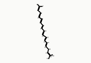 CC(C)=C/C=C/C=C/C=C/C=C/C=C/C=C/CC=C(C)C